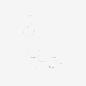 CCn1c(=O)c2cnc(Nc3ccc4c(c3)CNCC4)nc2n1-c1ccc(C#N)c(C)c1